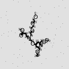 COCCOCCOCCN(CCOc1cc(COSC)nc(COSC)c1)CCC(=O)OC